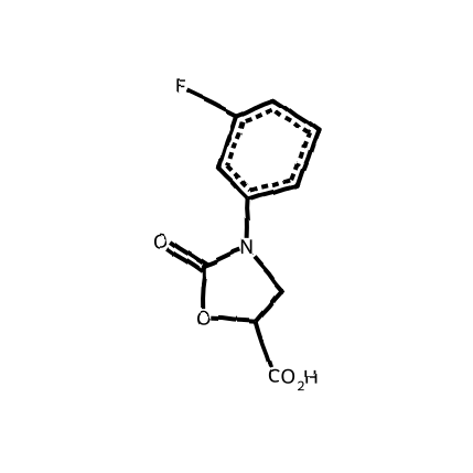 O=C(O)C1CN(c2cccc(F)c2)C(=O)O1